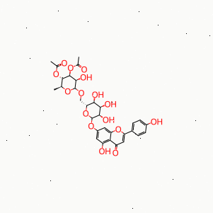 CC(=O)O[C@@H]1[C@@H](OC(C)=O)[C@@H](O)C(OC[C@H]2OC(Oc3cc(O)c4c(=O)cc(-c5ccc(O)cc5)oc4c3)[C@H](O)[C@H](O)[C@@H]2O)O[C@H]1C